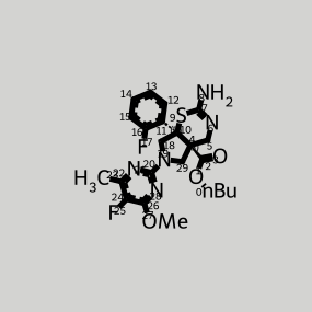 CCCCOC(=O)[C@]12CN=C(N)S[C@]1(c1ccccc1F)CN(c1nc(C)c(F)c(OC)n1)C2